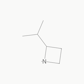 CC(C)C1CC[N]1